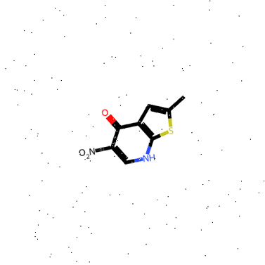 Cc1cc2c(=O)c([N+](=O)[O-])c[nH]c2s1